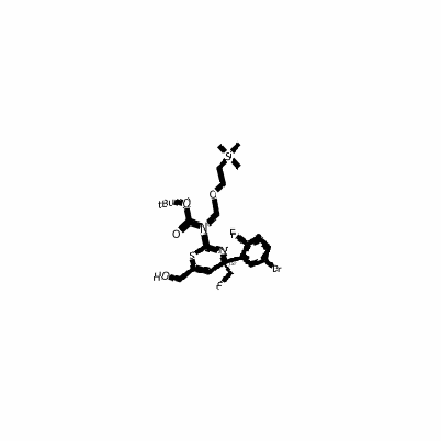 CC(C)(C)OC(=O)N(COCC[Si](C)(C)C)C1=N[C@](CF)(c2cc(Br)ccc2F)C=C(CO)S1